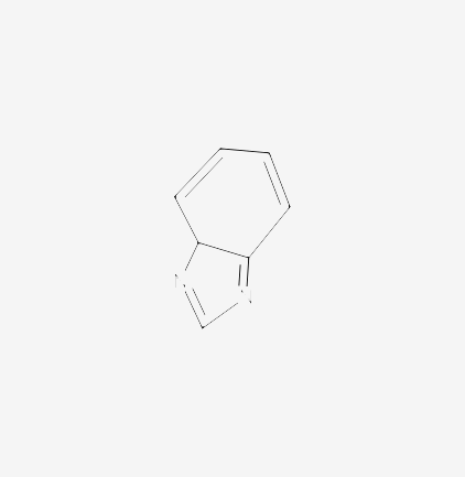 C1=CC2=NC=NC2C=C1